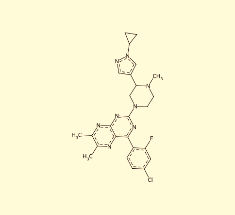 Cc1nc2nc(N3CCN(C)C(c4cnn(C5CC5)c4)C3)nc(-c3ccc(Cl)cc3F)c2nc1C